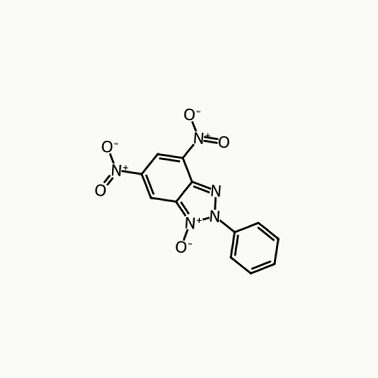 O=[N+]([O-])c1cc([N+](=O)[O-])c2nn(-c3ccccc3)[n+]([O-])c2c1